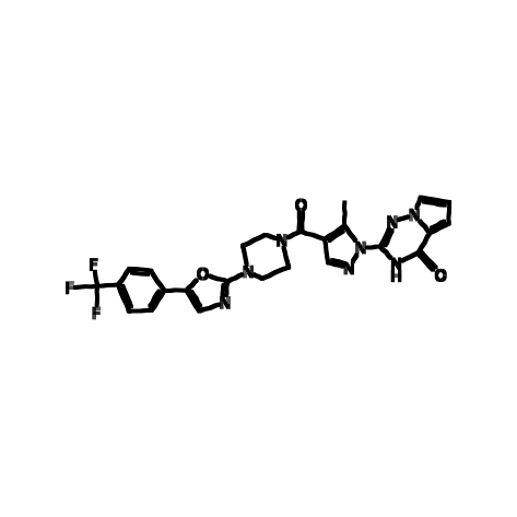 Cc1c(C(=O)N2CCN(c3ncc(-c4ccc(C(F)(F)F)cc4)o3)CC2)cnn1-c1nn2cccc2c(=O)[nH]1